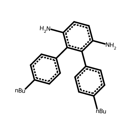 CCCCc1ccc(-c2c(N)ccc(N)c2-c2ccc(CCCC)cc2)cc1